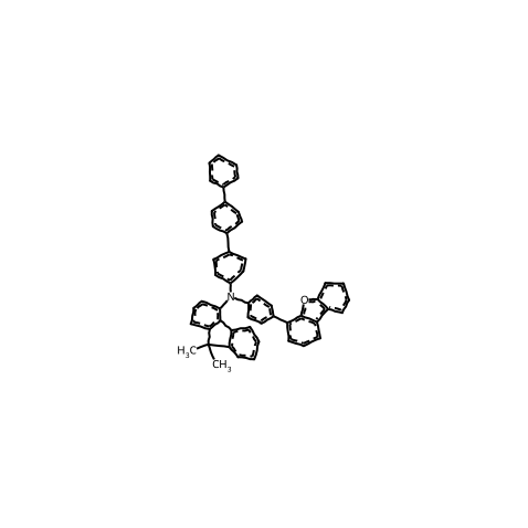 CC1(C)c2ccccc2-c2c(N(c3ccc(-c4ccc(-c5ccccc5)cc4)cc3)c3ccc(-c4cccc5c4oc4ccccc45)cc3)cccc21